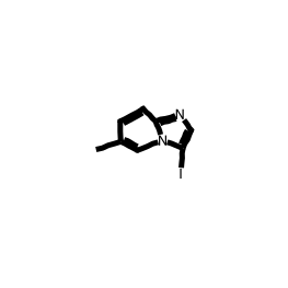 Cc1ccc2ncc(I)n2c1